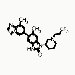 Cc1cc2c(cc1-c1cc(C)c3ncnn3c1)[nH]c(=O)n2[C@@H]1CCCN(CCC(F)(F)F)C1